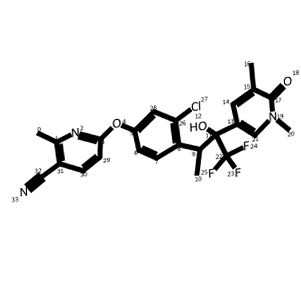 Cc1nc(Oc2ccc(C(C)C(O)(c3cc(C)c(=O)n(C)c3)C(F)(F)F)c(Cl)c2)ccc1C#N